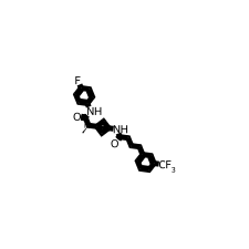 C[C@H](C(=O)Nc1ccc(F)cc1)C12CC(NC(=O)CCCc3cccc(C(F)(F)F)c3)(C1)C2